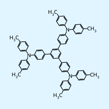 Cc1ccc(N(c2ccc(C)cc2)c2ccc(-c3cc(-c4ccc(N(c5ccc(C)cc5)c5ccc(C)cc5)cc4)cc(-c4ccc(N(c5ccc(C)cc5)c5ccc(C)cc5)cc4)c3)cc2)cc1